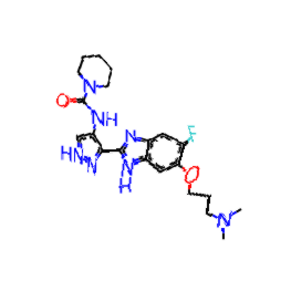 CN(C)CCCOc1cc2[nH]c(-c3n[nH]cc3NC(=O)N3CCCCC3)nc2cc1F